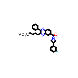 O=C(O)CCCCc1nc2cc(C(=O)N3CC(c4cccc(F)c4)C3)ccc2nc1-c1ccccc1